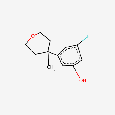 CC1(c2cc(O)cc(F)c2)CCOCC1